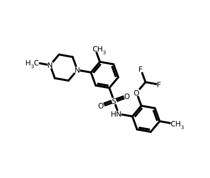 Cc1ccc(NS(=O)(=O)c2ccc(C)c(N3CCN(C)CC3)c2)c(OC(F)F)c1